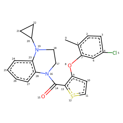 Cc1ccc(Cl)cc1Oc1ccsc1C(=O)N1CCN(C2CC2)c2ccccc21